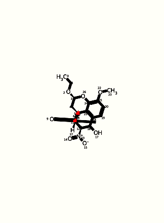 CCO[C@@H]1C[C@]23C=CC(=O)C[C@H]2[C@H]([N+](=O)[O-])C(O)c2ccc(OC)c(c23)O1